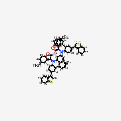 CC(C)c1cc2c3c(c1)N(c1ccc(-c4csc5ccccc45)cc1-c1ccccc1)c1c(oc4ccc(C(C)(C)C)cc14)B3c1oc3ccc(C(C)(C)C)cc3c1N2c1ccc(-c2csc3ccccc23)cc1-c1ccccc1